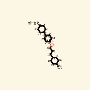 CCCCCCC1CCC(c2ccc(OCCCC3CCC(CC)CC3)cc2)CC1